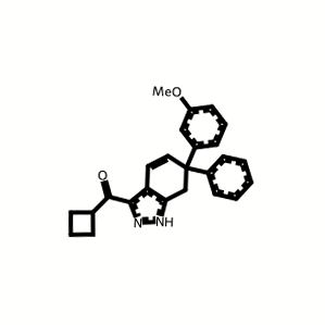 COc1cccc(C2(c3ccccc3)C=Cc3c(C(=O)C4CCC4)n[nH]c3C2)c1